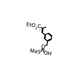 CCOC(=O)/C(C)=C/c1cccc(CON(O)SC)c1